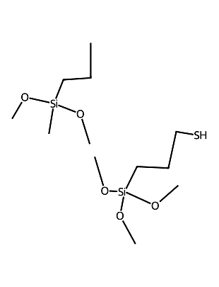 CCC[Si](C)(OC)OC.CO[Si](CCCS)(OC)OC